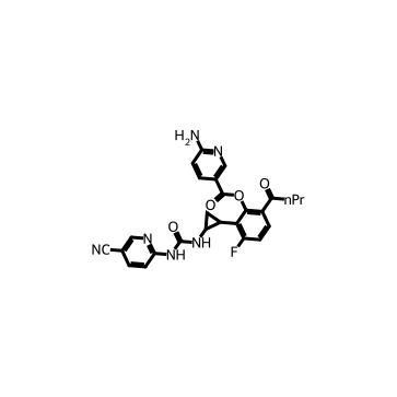 CCCC(=O)c1ccc(F)c(C2CC2NC(=O)Nc2ccc(C#N)cn2)c1OC(=O)c1ccc(N)nc1